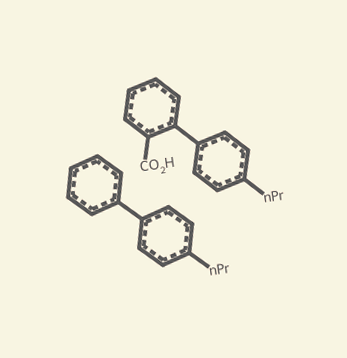 CCCc1ccc(-c2ccccc2)cc1.CCCc1ccc(-c2ccccc2C(=O)O)cc1